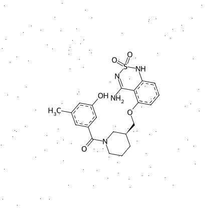 Cc1cc(O)cc(C(=O)N2CCC[C@H](COc3cccc4c3C(N)=NS(=O)(=O)N4)C2)c1